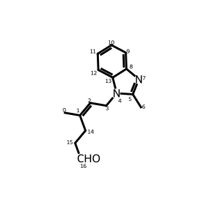 CC(=CCn1c(C)nc2ccccc21)CCC=O